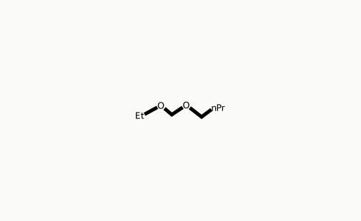 [CH2]COCOCCCC